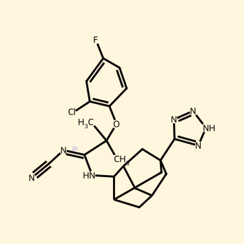 CC(C)(Oc1ccc(F)cc1Cl)/C(=N/C#N)NC1C2CC3CC1CC(c1nn[nH]n1)(C3)C2